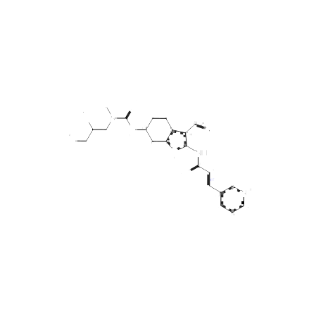 CN(CC(O)CO)C(=O)OC1CCc2c(sc(NC(=O)/C=C/c3cccnc3)c2C=N)C1